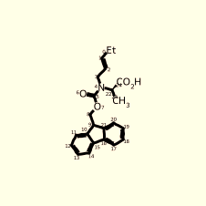 CCC=CCN(C(=O)OCC1c2ccccc2-c2ccccc21)[C@H](C)C(=O)O